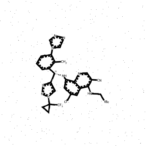 Cc1c([C@H](Nc2cc(Cl)cc3c(NCC(C)(C)C)c(C#N)cnc23)c2cn(C3(C(F)(F)F)CC3)nn2)cccc1-n1cnnc1